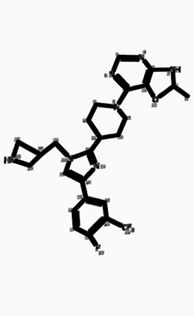 CC1Nc2ncnc(N3CCC(c4nc(-c5ccc(F)c(C(F)(F)F)c5)cn4CC4CNC4)CC3)c2O1